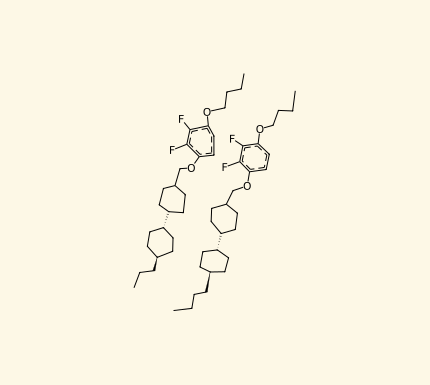 CCCCOc1ccc(OCC2CCC([C@H]3CC[C@H](CCC)CC3)CC2)c(F)c1F.CCCCOc1ccc(OCC2CCC([C@H]3CC[C@H](CCCC)CC3)CC2)c(F)c1F